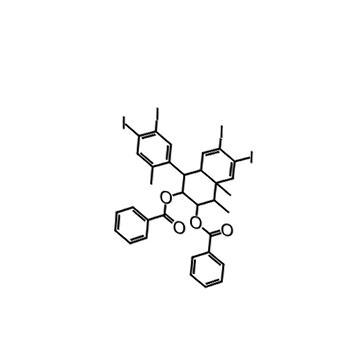 Cc1cc(I)c(I)cc1C1C(OC(=O)c2ccccc2)C(OC(=O)c2ccccc2)C(C)C2(C)C=C(I)C(I)=CC12